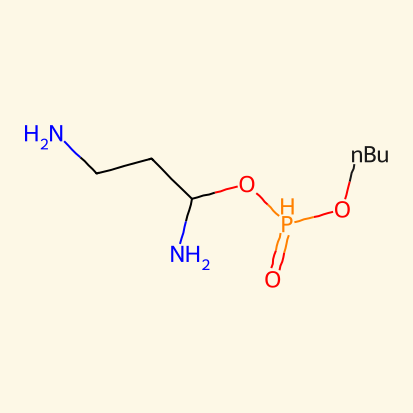 CCCCO[PH](=O)OC(N)CCN